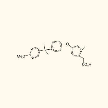 COc1ccc(C(C)(C)c2ccc(Oc3ccc(CC(=O)O)c(C)c3)cc2)cc1